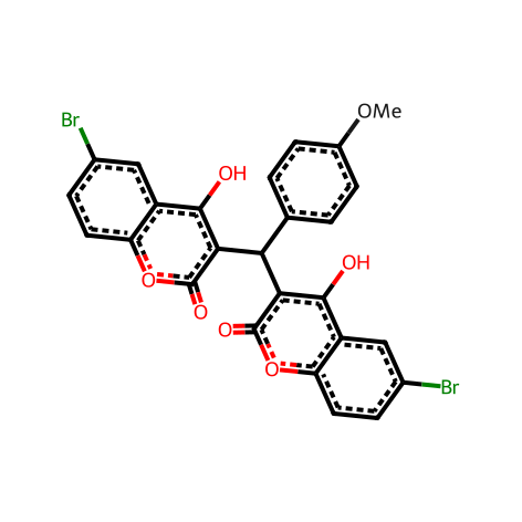 COc1ccc(C(c2c(O)c3cc(Br)ccc3oc2=O)c2c(O)c3cc(Br)ccc3oc2=O)cc1